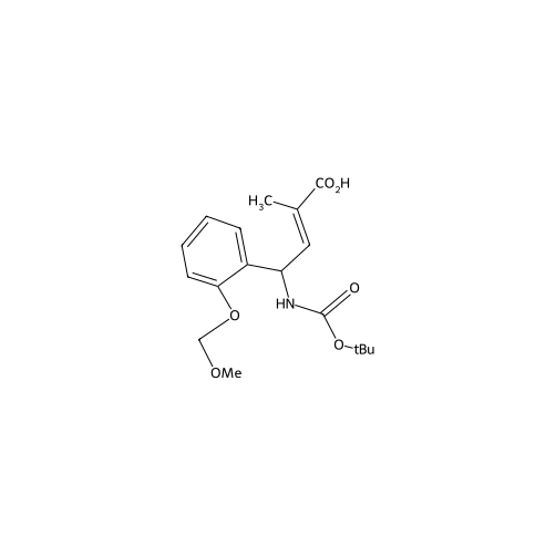 COCOc1ccccc1C(C=C(C)C(=O)O)NC(=O)OC(C)(C)C